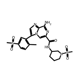 Cc1ccc(S(C)(=O)=O)cc1-c1cnc2c(N)nc(C(=O)NC3CCCN(S(C)(=O)=O)C3)cn12